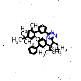 CCC(CC)c1nnc(-c2cccc(-c3c(C)cc(C(C)(C)C)cc3C)c2)n1-c1ccc(-c2ccccc2)cc1CC(C)C